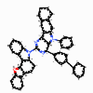 c1ccc(-c2ccc(-c3nc(-n4c5ccccc5c5c6oc7ccccc7c6ccc54)nc4c5cc6ccccc6cc5n(-c5ccccc5)c34)cc2)cc1